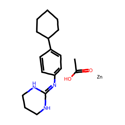 CC(=O)O.[Zn].c1cc(C2CCCCC2)ccc1N=C1NCCCN1